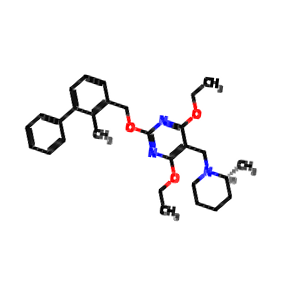 CCOc1nc(OCc2cccc(-c3ccccc3)c2C)nc(OCC)c1CN1CCCC[C@H]1C